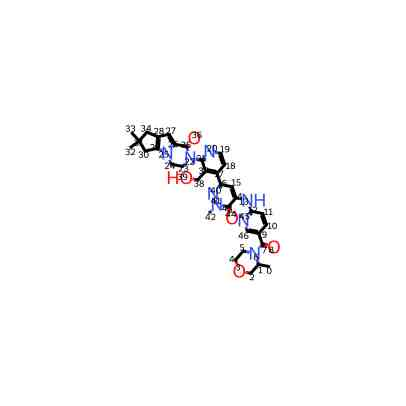 CC1COCCN1C(=O)c1ccc(Nc2cc(-c3ccnc(N4CCn5c(cc6c5CC(C)(C)C6)C4=O)c3CO)nn(C)c2=O)nc1